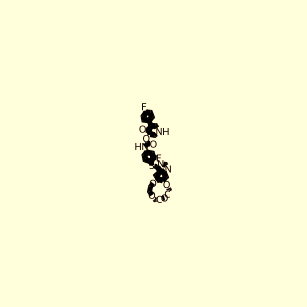 O=C(Nc1ccc(Sc2ncnc3cc4c(cc23)OCCOCCOCCO4)c(F)c1)Oc1c[nH]cc(-c2ccc(F)cc2)c1=O